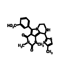 Cc1csc(C2NCCn3c(-c4cccc(C(=O)O)c4)c4c(=O)n(C)c(=O)n(C)c4c32)n1